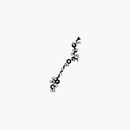 Cn1c(=O)n(C2CCC(=O)NC2=O)c2cccc(CCCOCCOCCNC[C@H]3CC[C@H](n4cc(NC(=O)c5coc(-c6ccnc(NCC7CC7)c6)n5)c(C(F)F)n4)CC3)c21